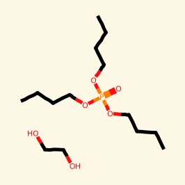 CCCCOP(=O)(OCCCC)OCCCC.OCCO